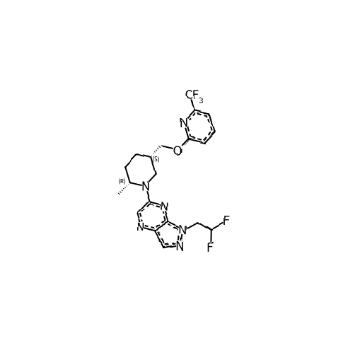 C[C@@H]1CC[C@H](COc2cccc(C(F)(F)F)n2)CN1c1cnc2cnn(CC(F)F)c2n1